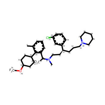 Cc1cccc(C(C(=O)O)N(C)CC[C@H](CCCN2CCCCC2)c2cccc(Cl)c2)c1C1CCC(OC(F)(F)F)CC1